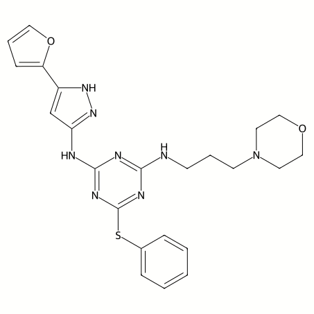 c1ccc(Sc2nc(NCCCN3CCOCC3)nc(Nc3cc(-c4ccco4)[nH]n3)n2)cc1